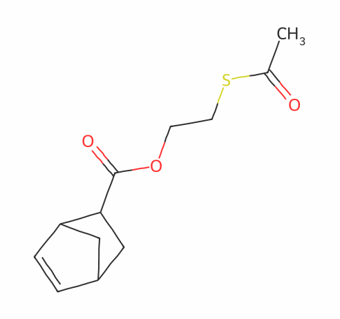 CC(=O)SCCOC(=O)C1CC2C=CC1C2